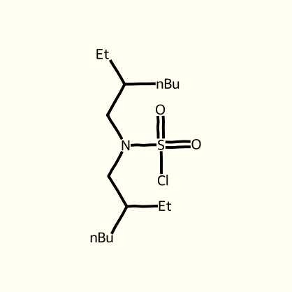 CCCCC(CC)CN(CC(CC)CCCC)S(=O)(=O)Cl